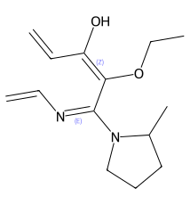 C=C/N=C(\C(OCC)=C(\O)C=C)N1CCCC1C